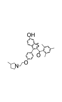 Cc1cc(C)c(C(=O)c2sc3cc(O)ccc3c2-c2ccc(OCCN3CCC(C)C3)cc2)c(C)c1